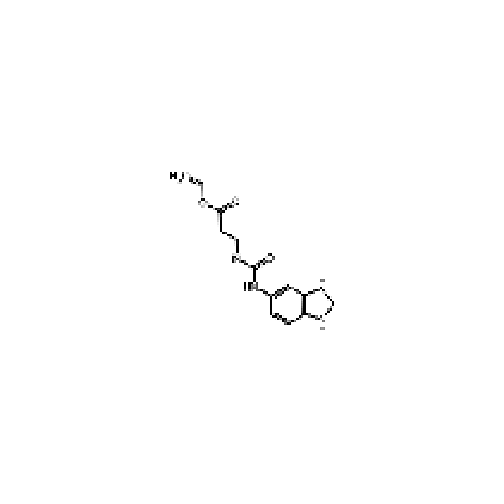 C=COC(=O)CCNC(=O)Nc1ccc2c(c1)NCN2